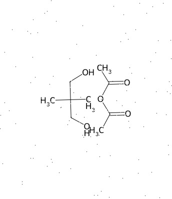 CC(=O)OC(C)=O.CC(C)(CO)CO